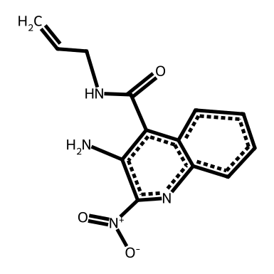 C=CCNC(=O)c1c(N)c([N+](=O)[O-])nc2ccccc12